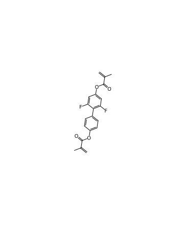 C=C(C)C(=O)Oc1ccc(-c2c(F)cc(OC(=O)C(=C)C)cc2F)cc1